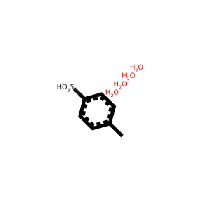 Cc1ccc(S(=O)(=O)O)cc1.O.O.O.O